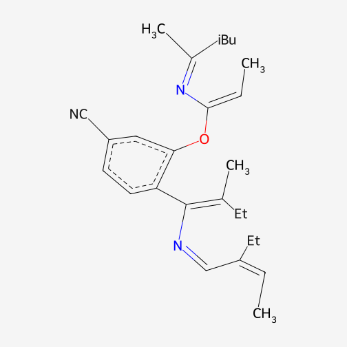 C\C=C(/C=N\C(=C(\C)CC)c1ccc(C#N)cc1OC(=C/C)/N=C(/C)C(C)CC)CC